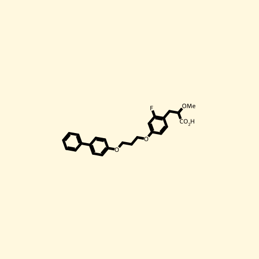 COC(Cc1ccc(OCCCOc2ccc(-c3ccccc3)cc2)cc1F)C(=O)O